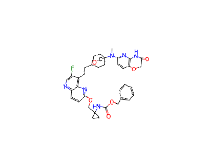 CN(c1ccc2c(n1)NC(=O)CO2)C12CCC(CCc3c(F)cnc4ccc(OCC5(NC(=O)OCc6ccccc6)CC5)nc34)(CC1)OC2